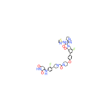 O=C1CC[C@H](Nc2ccc(C3CCN(CC(=O)N4CCC(Oc5ccc(-c6cc(F)c7c(c6)C(=O)N(C(C(=O)Nc6nccs6)c6ncn8c6CCC8)C7)cc5)CC4)CC3)c(F)c2)C(=O)N1